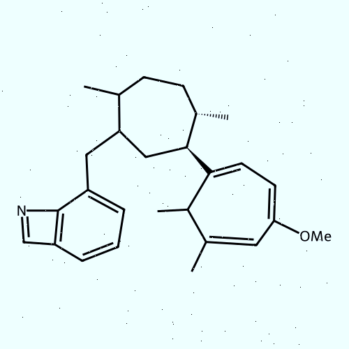 COC1=CC=C([C@H]2CC(Cc3cccc4c3N=C4)C(C)CC[C@@H]2C)C(C)C(C)=C1